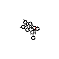 Cc1ccc(C2(c3ccc(C)cc3)c3cccc(-c4cc(-c5ccccc5)nc(-c5ccccc5)n4)c3-n3c4ccccc4c4cccc2c43)cc1